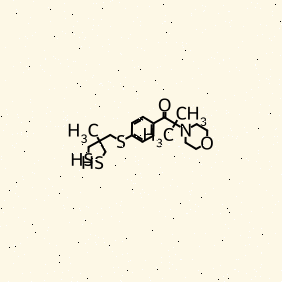 CC(CS)(CS)CSc1ccc(C(=O)C(C)(C)N2CCOCC2)cc1